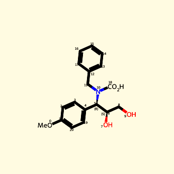 COc1ccc([C@H]([C@H](O)CO)N(Cc2ccccc2)C(=O)O)cc1